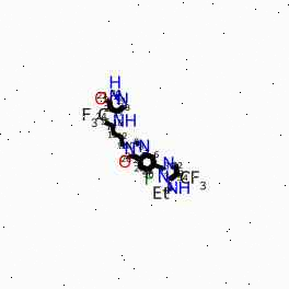 CCNc1nc(-c2cc3ncn(CCCC(C)Nc4cn[nH]c(=O)c4C(F)(F)F)c(=O)c3cc2F)ncc1C(F)(F)F